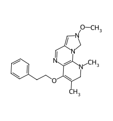 CON1C=C2C=NC3=C(N(C)CC(C)=C3OCCc3ccccc3)N2C1